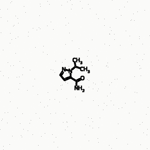 CC(C)n1nccc1C(N)=O